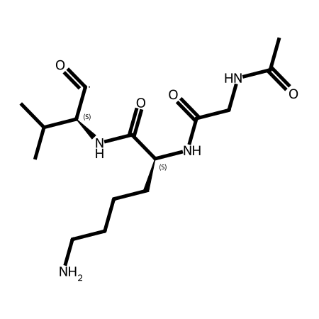 CC(=O)NCC(=O)N[C@@H](CCCCN)C(=O)N[C@H]([C]=O)C(C)C